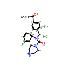 COC(=O)c1ccc(CN(C(=O)N2CCNCC2)c2cccc(F)c2)c(F)c1.Cl